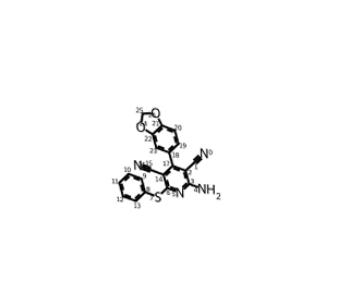 N#Cc1c(N)nc(Sc2ccccc2)c(C#N)c1-c1ccc2c(c1)OCO2